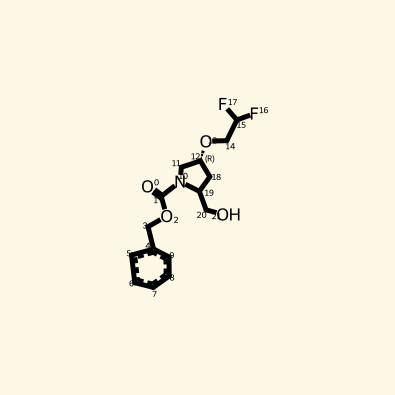 O=C(OCc1ccccc1)N1C[C@H](OCC(F)F)CC1CO